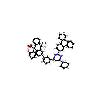 CC1(C)c2ccccc2C2(c3ccccc3Oc3ccccc32)c2ccc(-c3cccc(-c4cc(-c5ccccc5)nc(-c5ccc6c7ccccc7c7ccccc7c6c5)n4)c3)cc21